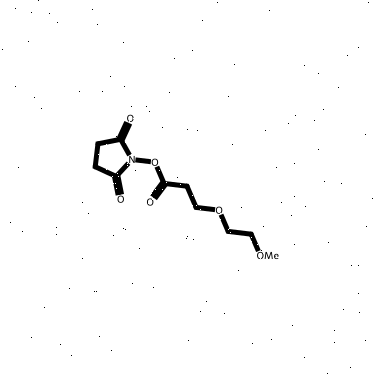 COCCOCCC(=O)ON1C(=O)CCC1=O